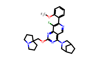 Fc1c(-c2ccccc2OC(F)(F)F)ncc2c(N3CC4CCC(C4)C3)nc(OCC34CCCN3CCC4)nc12